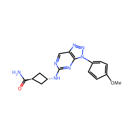 COc1ccc(-n2nnc3cnc(N[C@H]4C[C@H](C(N)=O)C4)nc32)cc1